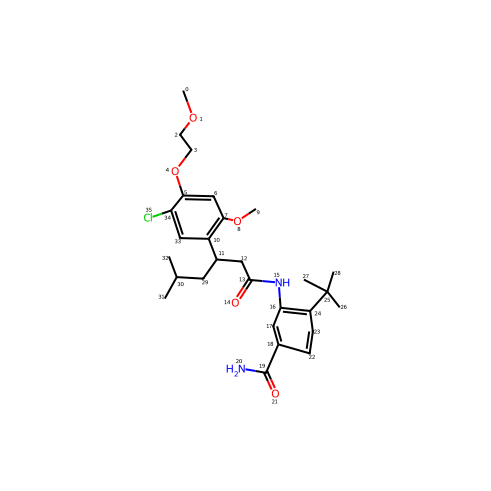 COCCOc1cc(OC)c(C(CC(=O)Nc2cc(C(N)=O)ccc2C(C)(C)C)CC(C)C)cc1Cl